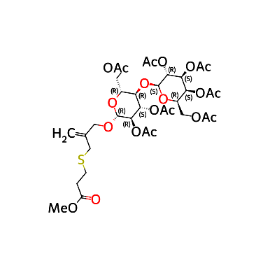 C=C(CO[C@@H]1O[C@H](COC(C)=O)[C@@H](O[C@@H]2O[C@H](COC(C)=O)[C@H](OC(C)=O)[C@H](OC(C)=O)[C@H]2OC(C)=O)[C@H](OC(C)=O)[C@H]1OC(C)=O)CSCCC(=O)OC